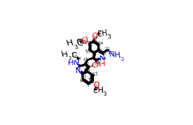 CCNc1nc2ccc(OC)cc2cc1Cc1c(O)nc(CN)c2cc(OC)c(OC)cc12